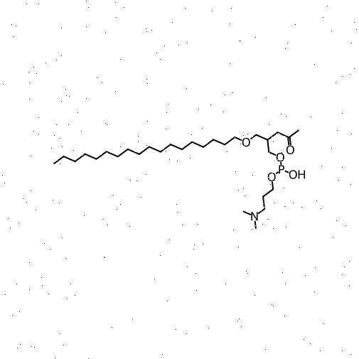 CCCCCCCCCCCCCCCCCCOCC(COP(O)OCCCN(C)C)CC(C)=O